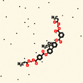 C=CC(=O)OCOC(=O)c1ccc(C(=O)Oc2ccc3c(c2)C(C)(C)c2cc(OC(=O)c4cccc(C(=O)OCOC(=O)C=C)c4)ccc2-3)cc1